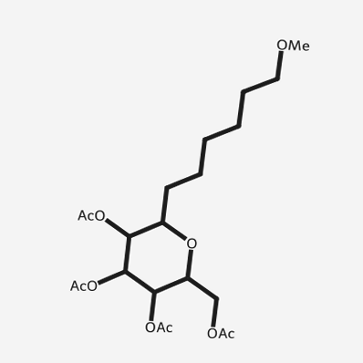 COCCCCCCC1OC(COC(C)=O)C(OC(C)=O)C(OC(C)=O)C1OC(C)=O